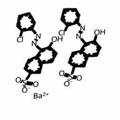 O=S(=O)([O-])c1ccc2c(N=Nc3ccccc3Cl)c(O)ccc2c1.O=S(=O)([O-])c1ccc2c(N=Nc3ccccc3Cl)c(O)ccc2c1.[Ba+2]